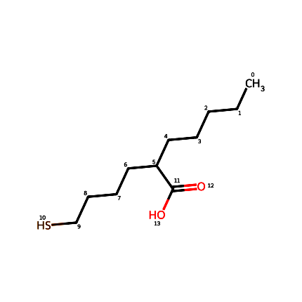 CCCCCC(CCCCS)C(=O)O